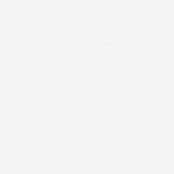 O=NC(=O)c1ccc2c(C3CCCCC3)c3n(c2c1)C[C@]1(C(=O)N2CCOCC2)B[C@@H]1c1ccccc1-3